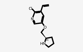 C=Cc1cc(OC[C@H]2CCCN2)cnc1Cl